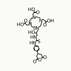 O=C(O)CN1CCN(CC(=O)O)CCN(CC(O)CNC(=S)Nc2ccc(C3CC(=O)OC(=O)C3)cc2)CCN(CC(=O)O)CC1